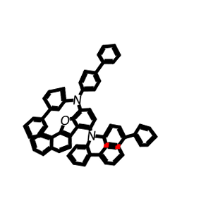 c1ccc(-c2ccc(N(c3cccc(-c4ccccc4)c3)c3ccc(N(c4ccc(-c5ccccc5)cc4)c4ccccc4-c4ccccc4)c4c3oc3c5ccccc5ccc34)cc2)cc1